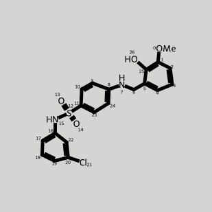 COc1cccc(CNc2ccc(S(=O)(=O)Nc3cccc(Cl)c3)cc2)c1O